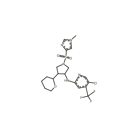 Cn1cnc(S(=O)(=O)N2CC(Nc3cc(C(F)(F)F)c(Cl)cn3)C(C3CCCCO3)C2)c1